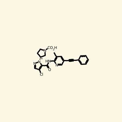 Cc1cc(C#Cc2ccccc2)cnc1NC(=O)c1c(Cl)cnn1[C@@H]1CCN(C(=O)O)C1